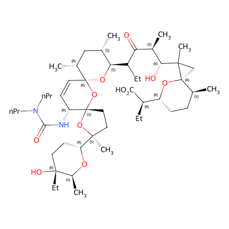 CCCN(CCC)C(=O)N[C@@H]1C=C[C@]2(O[C@H](C(CC)C(=O)[C@@H](C)[C@@H](O)C3(C)C[C@]34O[C@@H]([C@@H](CC)C(=O)O)CC[C@@H]4C)[C@@H](C)C[C@H]2C)O[C@@]12CC[C@@](C)([C@H]1CC[C@](O)(CC)[C@H](C)O1)O2